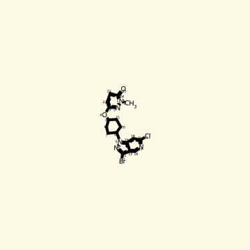 Cn1nc(OC2CCC(n3nc(Br)c4cnc(Cl)cc43)CC2)ccc1=O